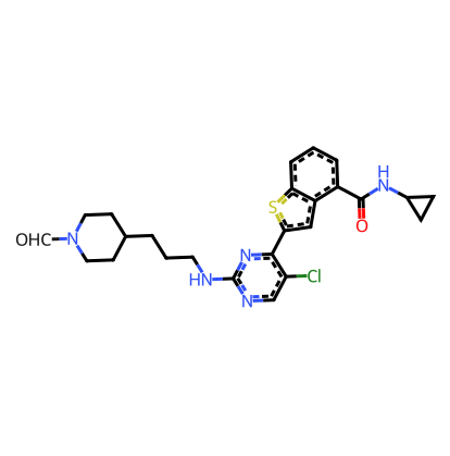 O=CN1CCC(CCCNc2ncc(Cl)c(-c3cc4c(C(=O)NC5CC5)cccc4s3)n2)CC1